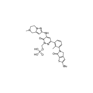 Cc1c(-c2cc(Nc3cc4n(n3)CCN(C)C4)c(=O)n(COP(=O)(O)O)n2)cccc1N1Cc2cc(C(C)(C)C)sc2C1=O